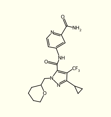 NC(=O)c1cc(NC(=O)c2c(C(F)(F)F)c(C3CC3)nn2CC2CCCCO2)ccn1